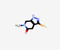 CN1Cc2[nH]nc(P)c2CC1=O